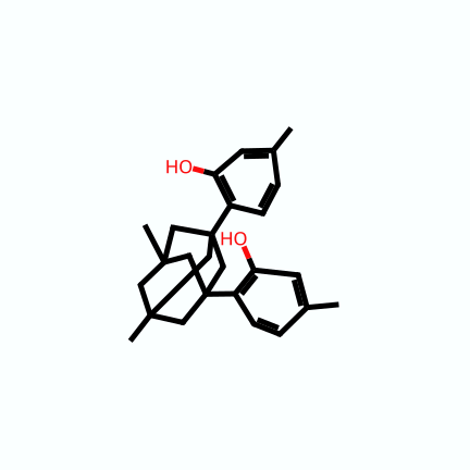 Cc1ccc(C23CC4(C)CC(C)(C2)CC(c2ccc(C)cc2O)(C4)C3)c(O)c1